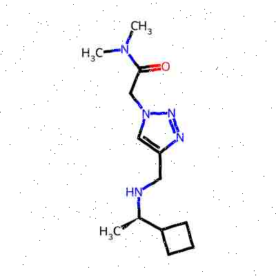 C[C@@H](NCc1cn(CC(=O)N(C)C)nn1)C1CCC1